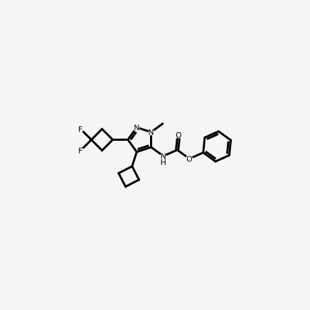 Cn1nc(C2CC(F)(F)C2)c(C2CCC2)c1NC(=O)Oc1ccccc1